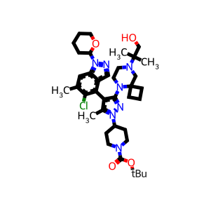 Cc1cc2c(cnn2C2CCCCO2)c(-c2c(N3CCN(C(C)(C)CO)CC34CCC4)nn(C3CCN(C(=O)OC(C)(C)C)CC3)c2C)c1Cl